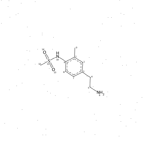 Cc1cc(CCN)ccc1NS(C)(=O)=O